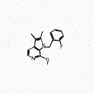 COc1nccc2c(C)c(C)n(Cc3ccccc3F)c12